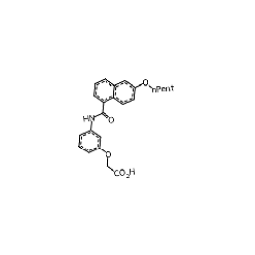 CCCCCOc1ccc2c(C(=O)Nc3cccc(OCC(=O)O)c3)cccc2c1